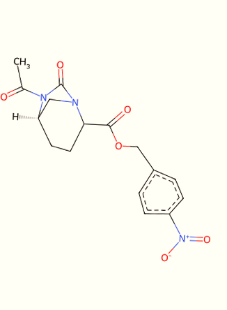 CC(=O)N1C(=O)N2C[C@H]1CCC2C(=O)OCc1ccc([N+](=O)[O-])cc1